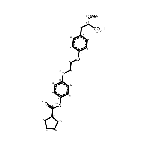 CO[C@@H](Cc1ccc(OCCOc2ccc(NC(=O)C3CCCC3)cc2)cc1)C(=O)O